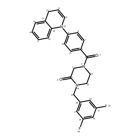 O=C1CN(C(=O)c2ccc(N3C=CCc4ccccc43)cc2)CCN1Cc1cc(F)cc(F)c1